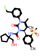 CC1=C(C#N)[C@@H](c2ccc(C#N)cc2S(C)(=O)=O)N(C(=O)NC2(CO)CCCC2)C(=O)N1c1cccc(CF)c1